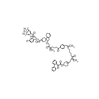 C=C/C(=C\C(=C)CF)C(=O)NC[C@@](O)(CCN1CCC2(CC1)C1=C(C=CCC1)C[C@@H]2OCC(=O)N(C)CCCC(=O)c1ccc(CN(C)CCCCCC(=O)N(C)CCN2CCC(OC(=O)Nc3ccccc3-c3ccccc3)CC2)cc1)c1ccc(F)cc1